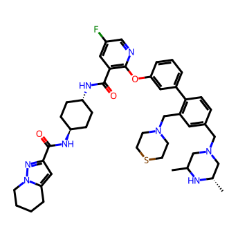 CC1CN(Cc2ccc(-c3cccc(Oc4ncc(F)cc4C(=O)N[C@H]4CC[C@H](NC(=O)c5cc6n(n5)CCCC6)CC4)c3)c(CN3CCSCC3)c2)C[C@H](C)N1